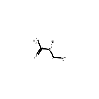 CCCCSC(N)=S.[Ni]